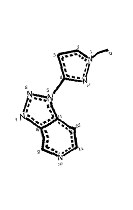 Cn1ccc(-n2nnc3cnccc32)n1